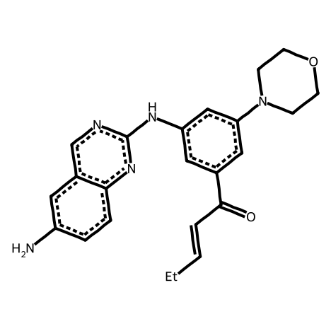 CC/C=C/C(=O)c1cc(Nc2ncc3cc(N)ccc3n2)cc(N2CCOCC2)c1